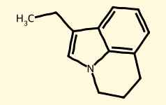 CCc1cn2c3c(cccc13)CCC2